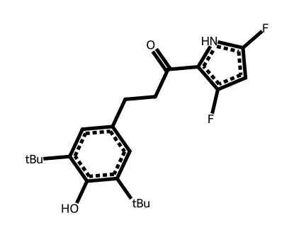 CC(C)(C)c1cc(CCC(=O)c2[nH]c(F)cc2F)cc(C(C)(C)C)c1O